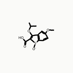 COc1ccc2c(c1)c(OC(C)C)c(C(=O)O)[s+]2[O-]